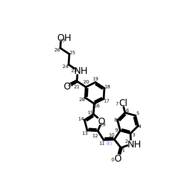 O=C1Nc2ccc(Cl)cc2/C1=C\c1ccc(-c2cccc(C(=O)NCCCO)c2)o1